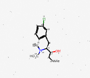 CNC[C@H](O)[C@H](Cc1cccc(Cl)c1)N(C(=O)O)C(C)(C)C